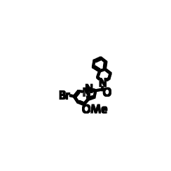 COc1cc(Br)cn2nc(C(=O)N3CCc4ccccc4C3)cc12